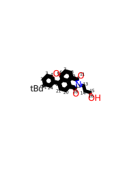 CC(C)(C)c1ccc2oc3ccc4c(=O)n(CCCO)c(=O)c5ccc(c2c1)c3c45